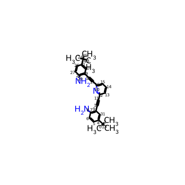 CC(C)(C)c1ccc(N)c(C#Cc2cccc(C#Cc3cc(C(C)(C)C)ccc3N)n2)c1